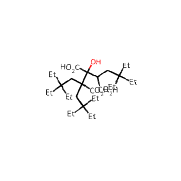 CCC(CC)(CC)CC(C(=O)O)C(O)(C(=O)O)C(CC(CC)(CC)CC)(CC(CC)(CC)CC)C(=O)O